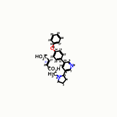 CN1CCCC1c1cncc(-c2ccc(Oc3ccccc3)cc2)c1.O=C(O)/C=C/C(=O)O